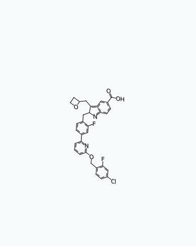 O=C(O)c1ccc2c(c1)=C(CC1CCO1)C(Cc1ccc(-c3cccc(OCc4ccc(Cl)cc4F)n3)cc1F)N=2